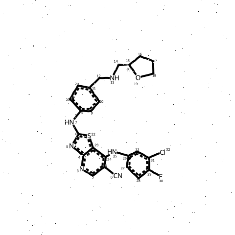 N#Cc1cnc2nc(Nc3ccc(CNC[C@H]4CCCO4)cc3)sc2c1Nc1ccc(F)c(Cl)c1